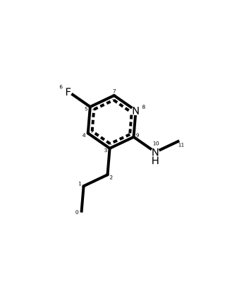 CCCc1cc(F)cnc1NC